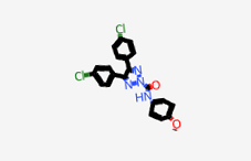 COc1ccc(NC(=O)n2nc(-c3ccc(Cl)cc3)c(-c3ccc(Cl)cc3)n2)cc1